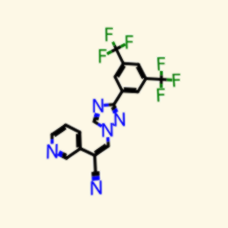 N#C/C(=C/n1cnc(-c2cc(C(F)(F)F)cc(C(F)(F)F)c2)n1)c1cccnc1